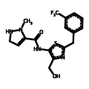 CN1NCC=C1C(=O)Nc1sc(Cc2cccc(C(F)(F)F)c2)nc1CO